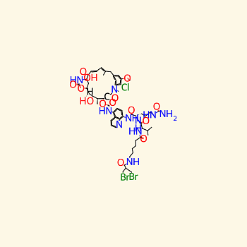 COc1cc2cc(c1Cl)N(C)C(=O)C[C@H](OC(=O)Nc1ccc(NC(=O)[C@H](CCCNC(N)=O)NC(=O)[C@@H](NC(=O)CCCCCNC(=O)C(CBr)CBr)C(C)C)c3ncccc13)[C@@H](C)[C@@H](O)[C@H](C)[C@@H]1C[C@@](O)(NC(=O)O1)[C@H](OC)/C=C/C=C(\C)C2